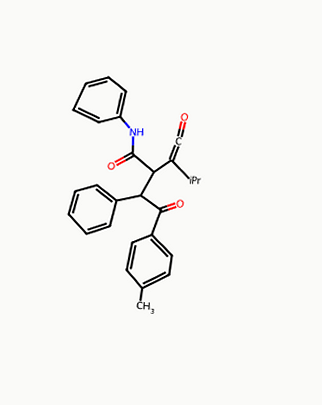 Cc1ccc(C(=O)C(c2ccccc2)C(C(=O)Nc2ccccc2)C(=C=O)C(C)C)cc1